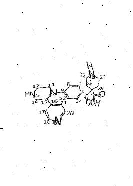 O=C(O)C1(C(=O)c2ccc(N3CCNCC3c3ccncc3)cc2)CCNCC1